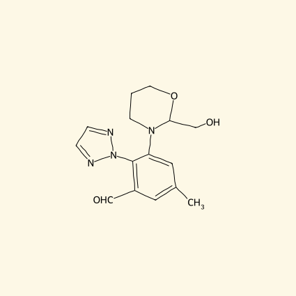 Cc1cc(C=O)c(-n2nccn2)c(N2CCCOC2CO)c1